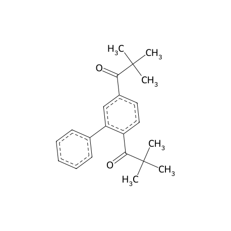 CC(C)(C)C(=O)c1ccc(C(=O)C(C)(C)C)c(-c2ccccc2)c1